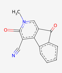 Cn1cc2c(c(C#N)c1=O)-c1ccccc1C2=O